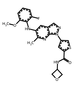 COc1cccc(F)c1Nc1cc2cnn(-c3csc(C(=O)NC4COC4)c3)c2nc1C